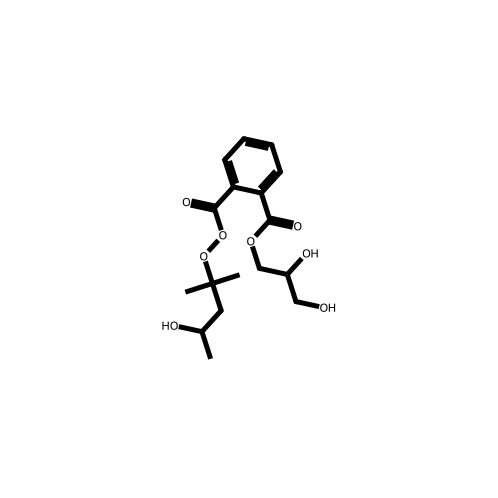 CC(O)CC(C)(C)OOC(=O)c1ccccc1C(=O)OCC(O)CO